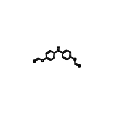 O=COc1ccc(Nc2ccc(OC=O)cc2)cc1